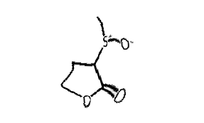 C[S+]([O-])C1CCOC1=O